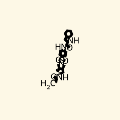 C=CC(=O)NC1CC2CN(S(=O)(=O)c3ccc(NC(=O)c4cc5c([nH]4)CCCC5)cc3)CC2S1